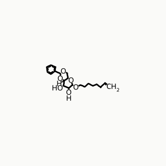 C=CCCCCCCO[C@@H]1OC2COC(c3ccccc3)O[C@H]2[C@H](O)C1O